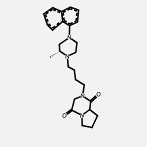 C[C@@H]1CN(c2cccc3ccccc23)CCN1CCCCN1CC(=O)N2CCCC2C1=O